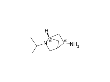 CC(C)N1CC2C[C@H]1C[C@@H]2N